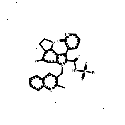 Cc1nc2ccccc2cc1Cn1c(C(=O)NS(=O)(=O)C(C)C)c(-c2ccc[nH]c2=O)c2c3c(c(F)cc21)CCO3